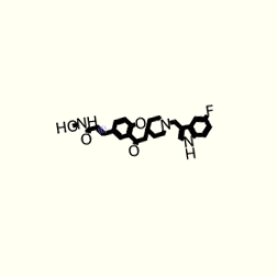 O=C(/C=C/c1ccc2c(c1)C(=O)CC1(CCN(Cc3c[nH]c4ccc(F)cc34)CC1)O2)NO